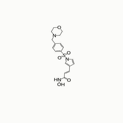 O=C(C=Cc1ccn(S(=O)(=O)c2ccc(CN3CCOCC3)cc2)c1)NO